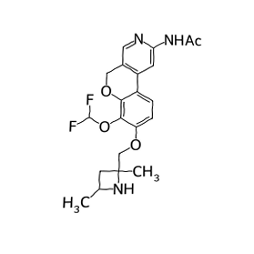 CC(=O)Nc1cc2c(cn1)COc1c-2ccc(OCC2(C)CC(C)N2)c1OC(F)F